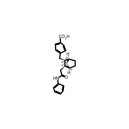 O=C(C[C@H]1[C@@H](Cc2ccc(C(=O)O)cc2)[C@H]2CC[C@@H]1O2)Nc1ccccc1